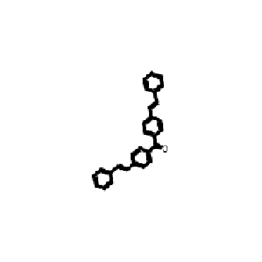 O=C(c1ccc(C=Cc2ccccc2)cc1)c1ccc(C=Cc2ccccc2)cc1